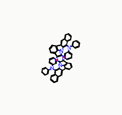 c1ccc(N(c2ccccc2)c2c3ccccc3cc3c4cccc5c6nc7c(nc6n(c23)c45)c2cccc3c4cc5ccccc5c(N(c5ccccc5)c5ccccc5)c4n7c32)cc1